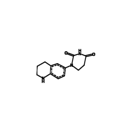 O=C1CCN(c2ccc3c(c2)CCCN3)C(=O)N1